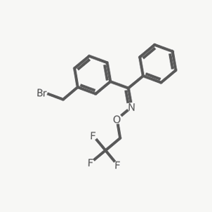 FC(F)(F)CON=C(c1ccccc1)c1cccc(CBr)c1